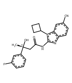 C[C@@](O)(CC(=O)Nc1nc2ccc(C#N)cc2n1C1CCC1)c1cccc(F)c1